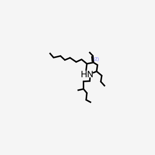 C/C=C(/CC(CCC)NCCC(C)CCC)C(C)CCCCCCC